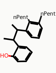 CCCCCc1cccc(C(C)C(C)c2ccccc2O)c1CCCCC